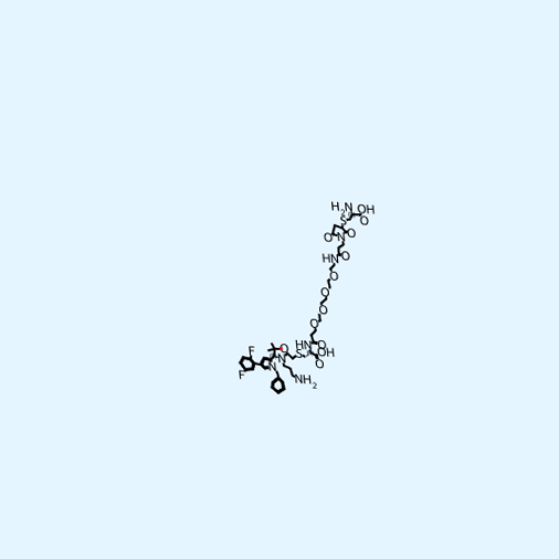 CC(C)(C)[C@H](c1cc(-c2cc(F)ccc2F)cn1Cc1ccccc1)N(CCCN)C(=O)CSC[C@H](NC(=O)CCOCCOCCOCCOCCNC(=O)CCN1C(=O)CC(SC[C@H](N)C(=O)O)C1=O)C(=O)O